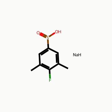 Cc1cc(S(=O)O)cc(C)c1F.[NaH]